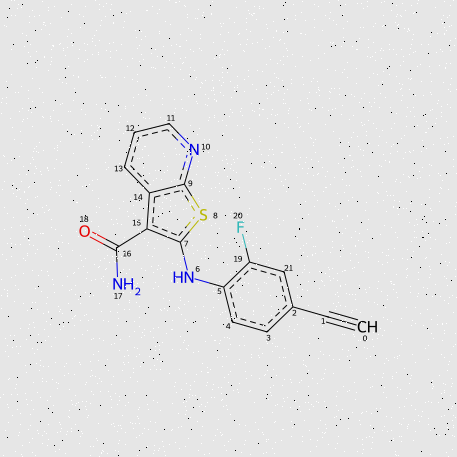 C#Cc1ccc(Nc2sc3ncccc3c2C(N)=O)c(F)c1